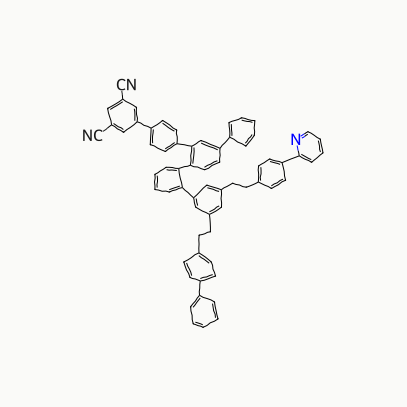 N#Cc1cc(C#N)cc(-c2ccc(-c3cc(-c4ccccc4)ccc3-c3ccccc3-c3cc(CCc4ccc(-c5ccccc5)cc4)cc(CCc4ccc(-c5ccccn5)cc4)c3)cc2)c1